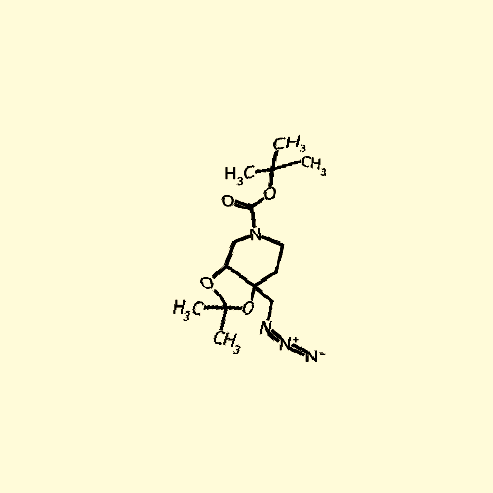 CC(C)(C)OC(=O)N1CCC2(CN=[N+]=[N-])OC(C)(C)OC2C1